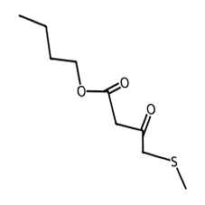 CCCCOC(=O)CC(=O)CSC